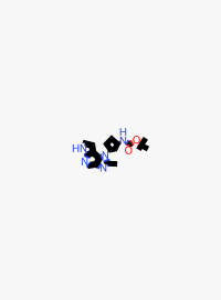 Cc1nc2cnc3[nH]ccc3c2n1[C@@H]1CC[C@@H](NC(=O)OC(C)(C)C)C1